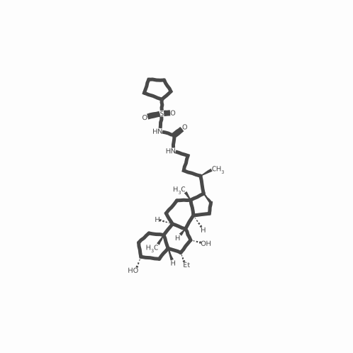 CC[C@H]1[C@@H](O)[C@@H]2[C@H](CC[C@]3(C)[C@@H]([C@H](C)CCNC(=O)NS(=O)(=O)C4CCCC4)CC[C@@H]23)[C@@]2(C)CC[C@@H](O)C[C@@H]12